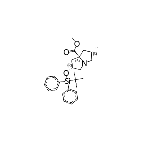 COC(=O)[C@@]12C[C@H](C)CN1C[C@H](O[Si](c1ccccc1)(c1ccccc1)C(C)(C)C)C2